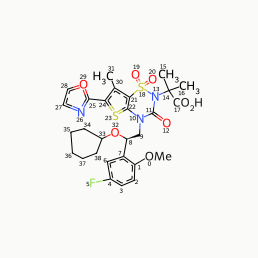 COc1ccc(F)cc1[C@H](CN1C(=O)N(C(C)(C)C(=O)O)S(=O)(=O)c2c1sc(-c1ncco1)c2C)OC1CCCCC1